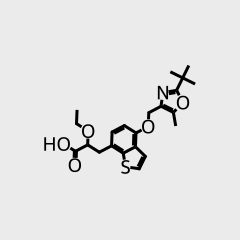 CCOC(Cc1ccc(OCc2nc(C(C)(C)C)oc2C)c2ccsc12)C(=O)O